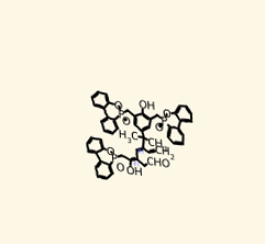 C=C/C(=C\C(CC=O)=C(\O)CP1(=O)Oc2ccccc2-c2ccccc21)C(C)(C)c1cc(CP2(=O)Oc3ccccc3-c3ccccc32)c(O)c(CP2(=O)Oc3ccccc3-c3ccccc32)c1